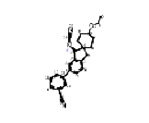 CCOC1CCC2(CC1)Cc1ccc(-c3cccc(C#N)c3)cc1/C2=N/C#N